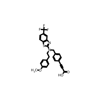 COc1ccc(CCN(Cc2ccc(C#CC(=O)O)cc2)c2nc3cc(C(F)(F)F)ccc3s2)cc1